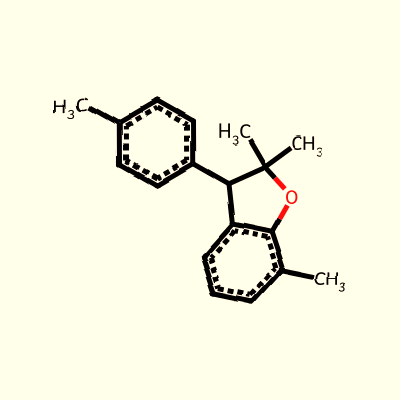 Cc1ccc(C2c3cccc(C)c3OC2(C)C)cc1